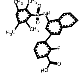 Cc1cc(C)c(C)c(S(=O)(=O)Nc2cc(-c3cccc(C(=O)O)c3F)cc3ccccc23)c1C